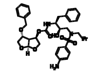 CC(C)CN(C[C@@H](O)[C@H](Cc1ccccc1)NC(=O)O[C@H]1CO[C@H]2OC[C@H](OCc3ccccc3)C21)S(=O)(=O)c1ccc(N)cc1